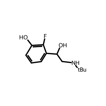 CC(C)(C)NCC(O)c1cccc(O)c1F